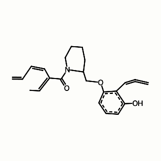 C=C=Cc1c(O)cccc1OCC1CCCCN1C(=O)C(/C=C\C=C)=C/C